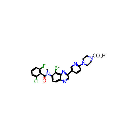 CN(C(=O)c1c(F)cccc1Cl)c1ccc2ncc(-c3ccc(N4CCN(C(=O)O)CC4)nc3)nc2c1Br